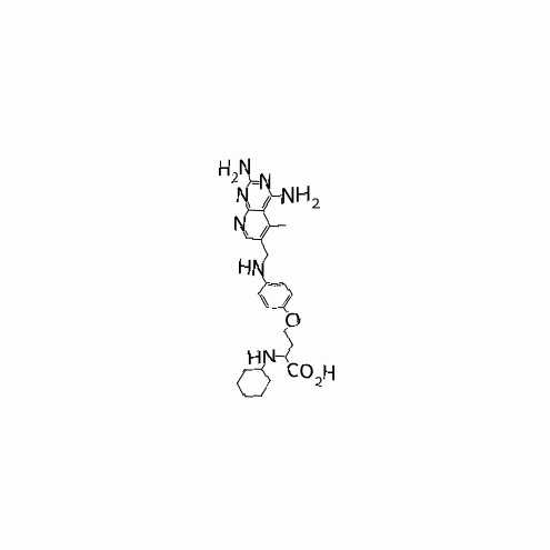 Cc1c(CNc2ccc(OCCC(NC3CCCCC3)C(=O)O)cc2)cnc2nc(N)nc(N)c12